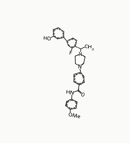 COc1ccc(NC(=O)c2ccc(N3CCN(C(C)c4ccc(-c5cccc(O)c5)cc4F)CC3)cc2)cc1